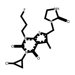 Cc1c(CN2CCNC2=O)sc2c1c(=O)n(C1CC1Cl)c(=O)n2CCCF